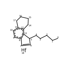 CCCCCC1C=Cc2ccc3c(c21)CCCC3.[Hf]